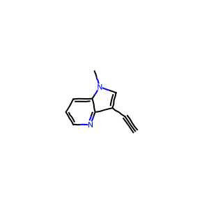 C#Cc1cn(C)c2cccnc12